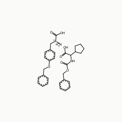 N[C@@H](Cc1ccc(OCc2ccccc2)cc1)C(=O)O.O=C(NC(C(=O)O)C1CCCC1)OCc1ccccc1